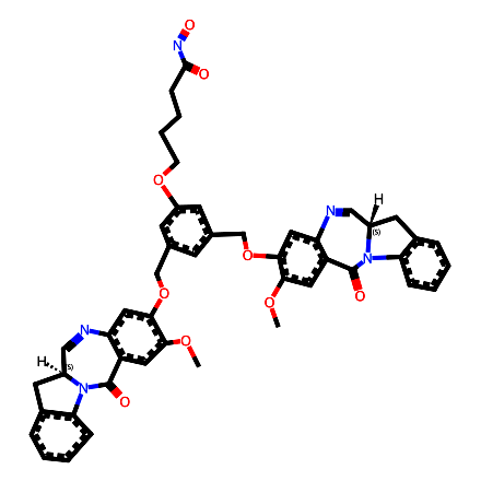 COc1cc2c(cc1OCc1cc(COc3cc4c(cc3OC)C(=O)N3c5ccccc5C[C@H]3C=N4)cc(OCCCCC(=O)N=O)c1)N=C[C@@H]1Cc3ccccc3N1C2=O